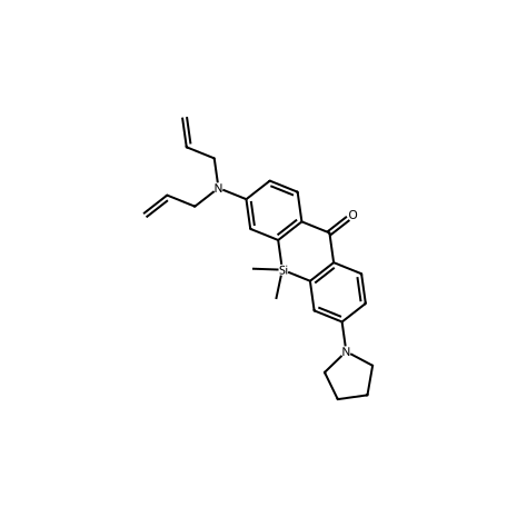 C=CCN(CC=C)c1ccc2c(c1)[Si](C)(C)c1cc(N3CCCC3)ccc1C2=O